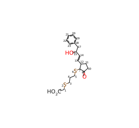 O=C(O)CSCCCSC1C(=O)CCC1C=CC(O)Cc1ccccc1